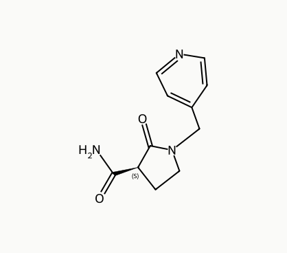 NC(=O)[C@@H]1CCN(Cc2ccncc2)C1=O